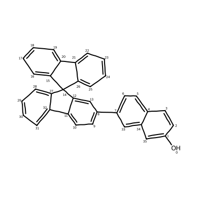 Oc1ccc2ccc(-c3ccc4c(c3)C3(c5ccccc5-c5ccccc53)c3ccccc3-4)cc2c1